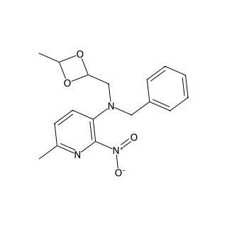 Cc1ccc(N(Cc2ccccc2)CC2OC(C)O2)c([N+](=O)[O-])n1